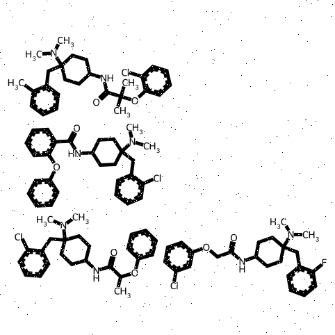 CC(Oc1ccccc1)C(=O)NC1CCC(Cc2ccccc2Cl)(N(C)C)CC1.CN(C)C1(Cc2ccccc2Cl)CCC(NC(=O)c2ccccc2Oc2ccccc2)CC1.CN(C)C1(Cc2ccccc2F)CCC(NC(=O)COc2cccc(Cl)c2)CC1.Cc1ccccc1CC1(N(C)C)CCC(NC(=O)C(C)(C)Oc2ccccc2Cl)CC1